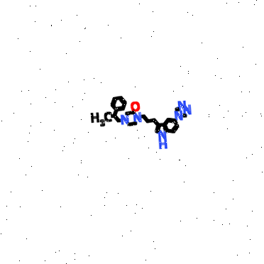 CC(CN1CCN(CCCc2c[nH]c3ccc(-n4cnnc4)cc23)C(=O)C1)c1ccccc1